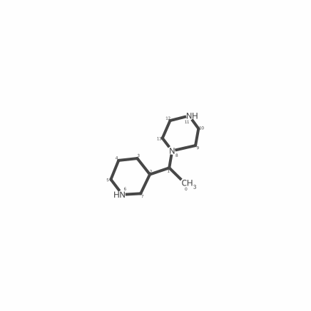 CC(C1CCCNC1)N1CCNCC1